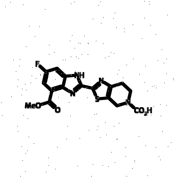 COC(=O)c1cc(F)cc2[nH]c(-c3nc4c(s3)CN(C(=O)O)CC4)nc12